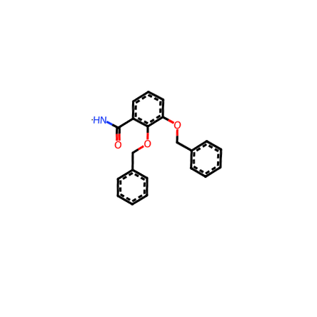 [NH]C(=O)c1cccc(OCc2ccccc2)c1OCc1ccccc1